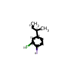 C=C[C](C)c1ccc(I)c(F)c1